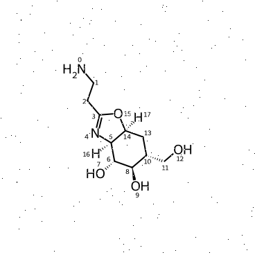 NCCC1=N[C@@H]2[C@@H](O)[C@H](O)[C@@H](CO)C[C@@H]2O1